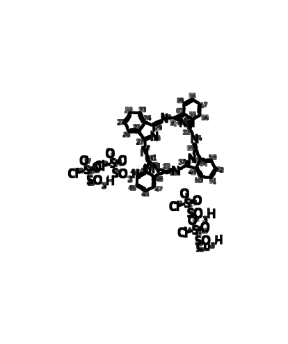 O=S(=O)(O)S(=O)(=O)Cl.O=S(=O)(O)S(=O)(=O)Cl.O=S(=O)(O)S(=O)(=O)Cl.O=S(=O)(O)S(=O)(=O)Cl.[Cu].c1ccc2c(c1)-c1nc-2nc2[nH]c(nc3nc(nc4[nH]c(n1)c1ccccc41)-c1ccccc1-3)c1ccccc21